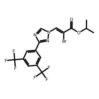 CC(C)OC(=O)C(Br)=Cn1cnc(-c2cc(C(F)(F)F)cc(C(F)(F)F)c2)n1